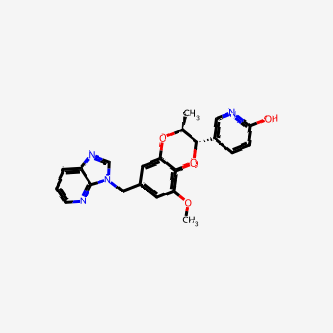 COc1cc(Cn2cnc3cccnc32)cc2c1O[C@@H](c1ccc(O)nc1)[C@H](C)O2